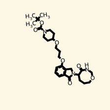 CC(C)(C)OC(=O)N1CCC(OCCCOc2cccc3c2CN(C2CCCOCNC2=O)C3=O)CC1